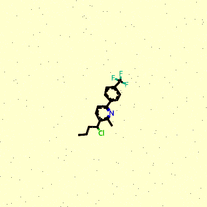 CCCC(Cl)c1ccc(-c2ccc(C(F)(F)F)cc2)nc1C